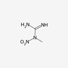 CN(C(=N)N)[N+](=O)[O-]